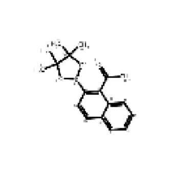 CC(=O)c1c(B2OC(C)(C)C(C)(C)O2)ccc2ccccc12